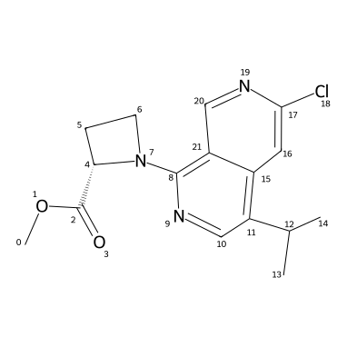 COC(=O)[C@@H]1CCN1c1ncc(C(C)C)c2cc(Cl)ncc12